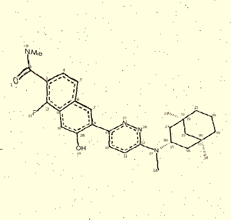 CNC(=O)c1ccc2cc(-c3ccc(N(C)[C@H]4C[C@]5(C)CCC[C@](C)(C4)C5)nn3)c(O)cc2c1F